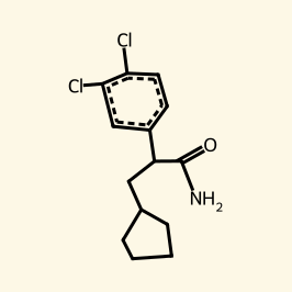 NC(=O)C(CC1CCCC1)c1ccc(Cl)c(Cl)c1